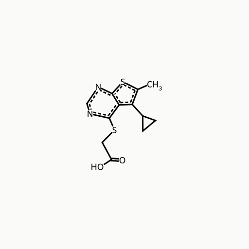 Cc1sc2ncnc(SCC(=O)O)c2c1C1CC1